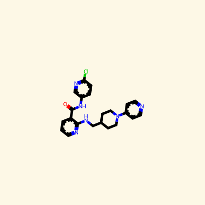 O=C(Nc1ccc(Cl)nc1)c1cccnc1NCC1CCN(c2ccncc2)CC1